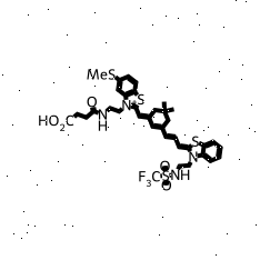 CSc1ccc2sc(/C=C3C=C(/C=C/C=C4\Sc5ccccc5N4CCNS(=O)(=O)C(F)(F)F)CC(C)(C)C/3)[n+](CCNC(=O)CCC(=O)O)c2c1